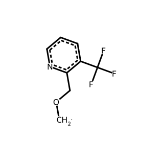 [CH2]OCc1ncccc1C(F)(F)F